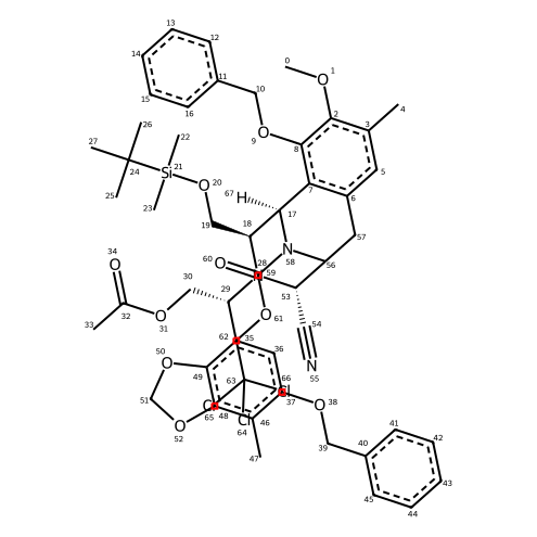 COc1c(C)cc2c(c1OCc1ccccc1)[C@@H]1[C@H](CO[Si](C)(C)C(C)(C)C)N([C@@H](COC(C)=O)c3cc(OCc4ccccc4)c(C)c4c3OCO4)[C@@H](C#N)C(C2)N1C(=O)OCC(Cl)(Cl)Cl